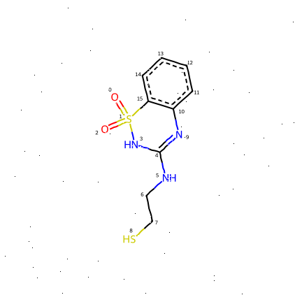 O=S1(=O)NC(NCCS)=Nc2ccccc21